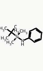 CC(C)(C)[Si](C)(C)Nc1cc[c]cc1